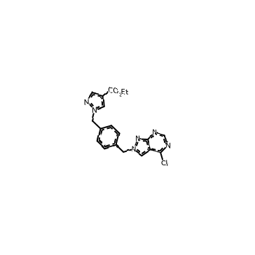 CCOC(=O)c1cnn(Cc2ccc(Cn3cc4c(Cl)ncnc4n3)cc2)c1